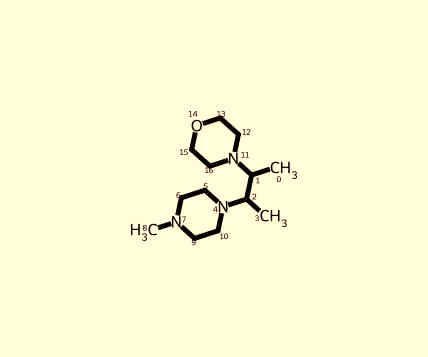 CC(C(C)N1CCN(C)CC1)N1CCOCC1